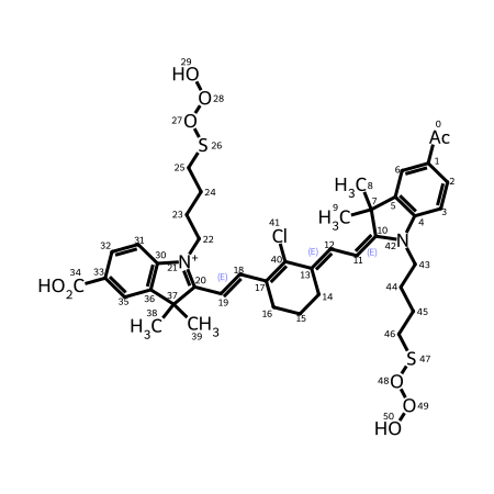 CC(=O)c1ccc2c(c1)C(C)(C)/C(=C\C=C1/CCCC(/C=C/C3=[N+](CCCCSOOO)c4ccc(C(=O)O)cc4C3(C)C)=C1Cl)N2CCCCSOOO